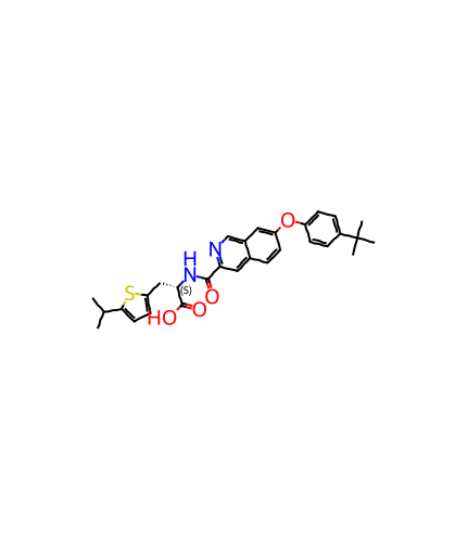 CC(C)c1ccc(C[C@H](NC(=O)c2cc3ccc(Oc4ccc(C(C)(C)C)cc4)cc3cn2)C(=O)O)s1